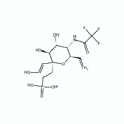 C=C[C@H]1O[C@](/C=C/O)(CCP(=O)(O)O)[C@@H](O)[C@H](O)[C@@H]1NC(=O)C(F)(F)F